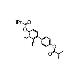 C=C(C)C(=O)Oc1ccc(-c2ccc(OC(=O)C(C)C)c(F)c2F)cc1